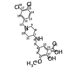 COc1cc(CNC2CCN(Cc3ccc(Cl)c(Cl)c3)CC2)cc(C(=O)O)c1O